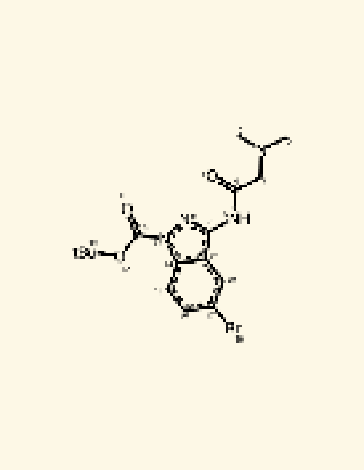 CN(C)CC(=O)Nc1nn(C(=O)OC(C)(C)C)c2ccc(Br)cc12